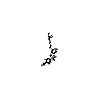 COC(=O)CCCC=C[C@@H]1C[C@@H](NS(=O)(=O)c2ccc(C(F)(F)F)cc2)CN1